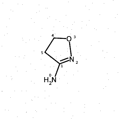 NC1=NOCC1